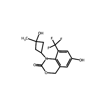 CC1(O)CC(N2C(=O)OCc3cc(O)cc(C(F)(F)F)c32)C1